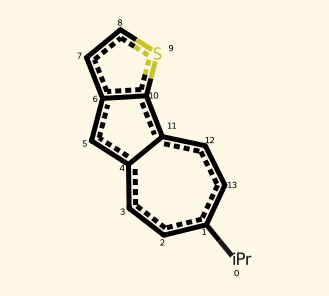 CC(C)c1ccc2cc3ccsc3c-2cc1